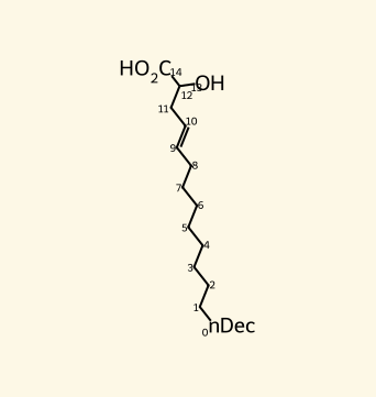 CCCCCCCCCCCCCCCCCCC=CCC(O)C(=O)O